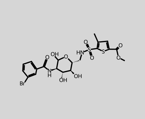 COC(=O)c1cc(C)c(S(=O)(=O)NC[C@H]2OC(O)[C@H](NC(=O)c3cccc(Br)c3)[C@@H](O)[C@@H]2O)s1